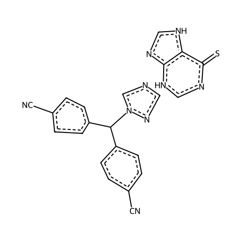 N#Cc1ccc(C(c2ccc(C#N)cc2)n2cncn2)cc1.S=c1nc[nH]c2nc[nH]c12